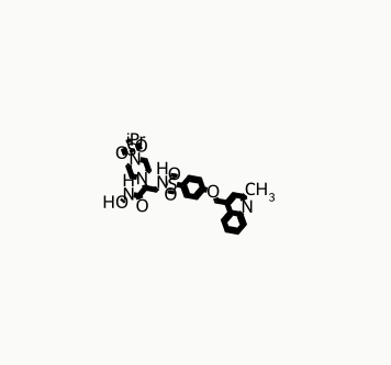 Cc1cc(COc2ccc(S(=O)(=O)NCC(C(=O)NO)N3CCN(S(=O)(=O)C(C)C)CC3)cc2)c2ccccc2n1